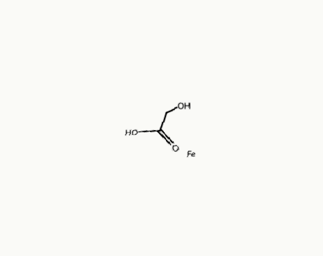 O=C(O)CO.[Fe]